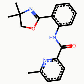 Cc1cccc(C(=O)Nc2ccccc2C2=NC(C)(C)CO2)n1